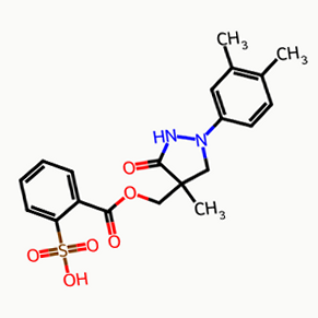 Cc1ccc(N2CC(C)(COC(=O)c3ccccc3S(=O)(=O)O)C(=O)N2)cc1C